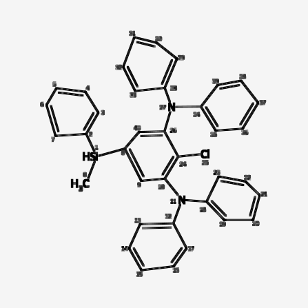 C[SiH](c1ccccc1)c1cc(N(c2ccccc2)c2ccccc2)c(Cl)c(N(c2ccccc2)c2ccccc2)c1